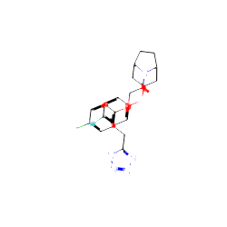 O=C(COc1ccc(Cl)cc1Cc1nnn[nH]1)N1C2CCC1CC(Oc1ccc(F)cc1)C2